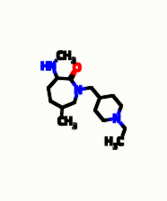 CCN1CCC(CN2CC(C)CCC(NC)C2=O)CC1